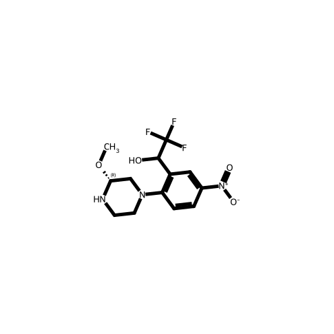 CO[C@@H]1CN(c2ccc([N+](=O)[O-])cc2C(O)C(F)(F)F)CCN1